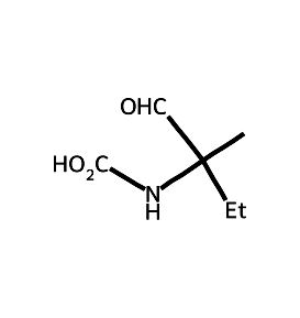 CCC(C)(C=O)NC(=O)O